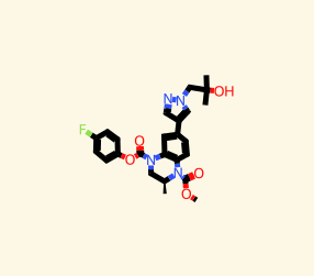 COC(=O)N1c2ccc(-c3cnn(CC(C)(C)O)c3)cc2N(C(=O)Oc2ccc(F)cc2)C[C@@H]1C